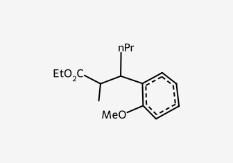 CCCC(c1ccccc1OC)C(C)C(=O)OCC